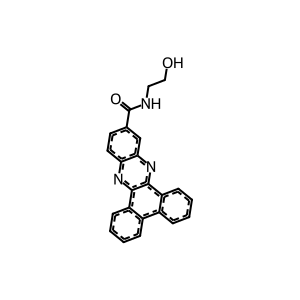 O=C(NCCO)c1ccc2nc3c4ccccc4c4ccccc4c3nc2c1